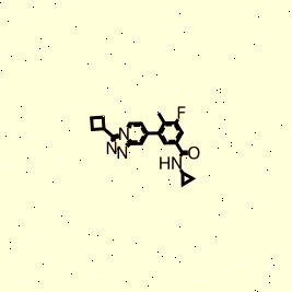 Cc1c(F)cc(C(=O)NC2CC2)cc1-c1ccn2c(C3CCC3)nnc2c1